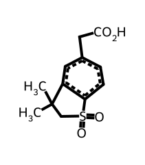 CC1(C)CS(=O)(=O)c2ccc(CC(=O)O)cc21